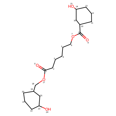 O=C(CCCCCOC(=O)C1CCCC(O)C1)OCC1CCCC(O)C1